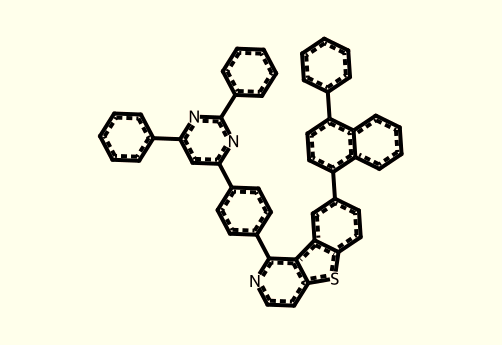 c1ccc(-c2cc(-c3ccc(-c4nccc5sc6ccc(-c7ccc(-c8ccccc8)c8ccccc78)cc6c45)cc3)nc(-c3ccccc3)n2)cc1